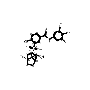 O=C(Nc1cc(F)c(F)c(F)c1)c1ccc(Cl)c(S(=O)(=O)[C@H]2CC3CC[C@@H](C2)[C@@H]3CO)c1